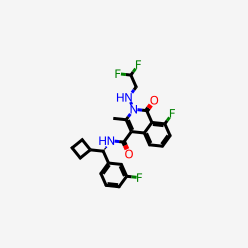 Cc1c(C(=O)N[C@H](c2cccc(F)c2)C2CCC2)c2cccc(F)c2c(=O)n1NCC(F)F